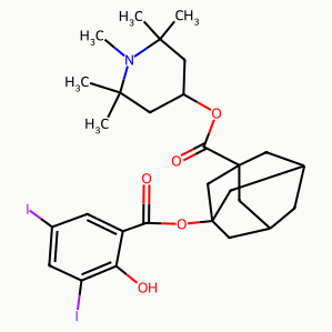 CN1C(C)(C)CC(OC(=O)C23CC4CC(CC(OC(=O)c5cc(I)cc(I)c5O)(C4)C2)C3)CC1(C)C